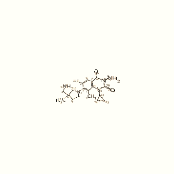 Cc1c(N2CCC(C)(CN)C2)c(F)cc2c(=O)n(N)c(=O)n(C3CC3)c12